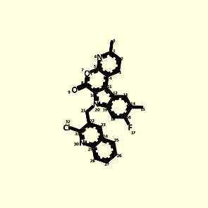 Cc1ccc2c(n1)oc(=O)c1c2c2cc(C)c(F)cc2n1Cc1cc2ccccc2nc1Cl